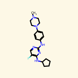 CN1CCN(c2ccc(Nc3ncc(F)c(NC4CCCC4)n3)cc2)CC1